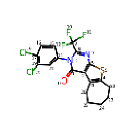 O=c1c2c3c(sc2nc(C(F)(F)F)n1-c1ccc(Cl)c(Cl)c1)CCCCC3